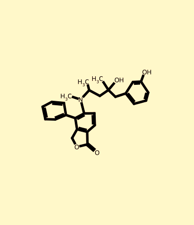 CC(CC(C)(O)Cc1cccc(O)c1)N(C)c1ccc2c(c1-c1ccccc1)COC2=O